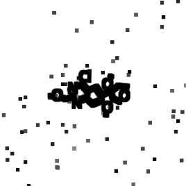 COCc1nc(Cl)c2cc(C3(OC)CCOCC3)c(OC)cc2n1